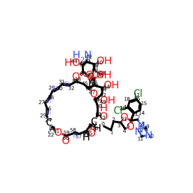 CCCC1COC(Cn2cncn2)(c2ccc(Cl)cc2Cl)O1.C[C@@H]1C/C=C/C=C/C=C/C=C/[C@H](O[C@@H]2O[C@H](C)[C@@H](O)[C@H](N)[C@@H]2O)C[C@@H]2O[C@](O)(C[C@@H](O)C[C@H]3O[C@@H]3/C=C/C(=O)O1)C[C@H](O)[C@H]2C(=O)O